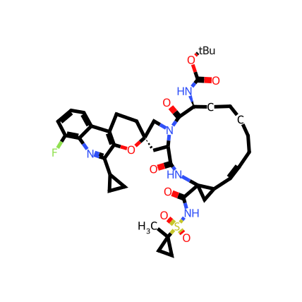 CC(C)(C)OC(=O)N[C@H]1CCCCC/C=C\C2CC2(C(=O)NS(=O)(=O)C2(C)CC2)NC(=O)C2C[C@]3(CCc4c(c(C5CC5)nc5c(F)cccc45)O3)CN2C1=O